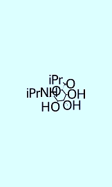 CC(C)NC[C@@H]1O[C@H](C(=O)C(C)C)C(O)[C@H](O)C1O